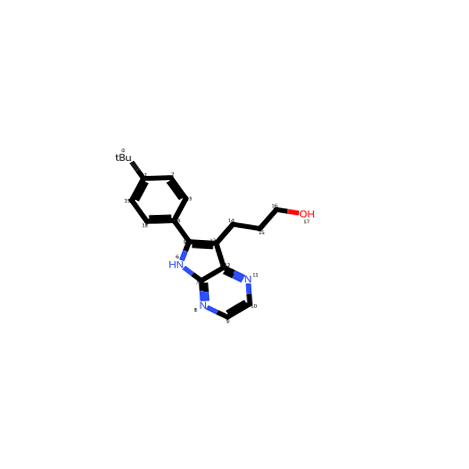 CC(C)(C)c1ccc(-c2[nH]c3nccnc3c2CCCO)cc1